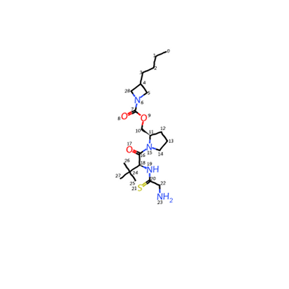 CCCCC1CN(C(=O)OC[C@H]2CCCN2C(=O)[C@@H](NC(=S)CN)C(C)(C)C)C1